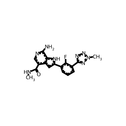 CNC(=O)c1cnc(N)c2[nH]c(-c3cccc(-c4nnn(C)n4)c3F)cc12